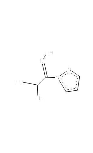 CC(C)/C(=N/O)n1cccn1